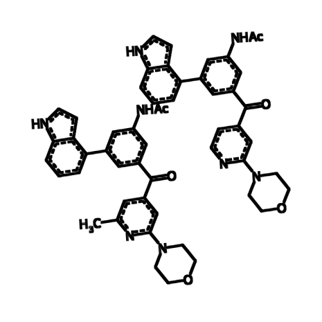 CC(=O)Nc1cc(C(=O)c2cc(C)nc(N3CCOCC3)c2)cc(-c2cccc3[nH]ccc23)c1.CC(=O)Nc1cc(C(=O)c2ccnc(N3CCOCC3)c2)cc(-c2cccc3[nH]ccc23)c1